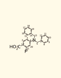 O=C(O)c1ccc(N(Cc2ccccc2)Cc2ccccc2)cc1F